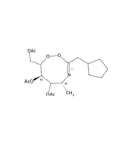 CC(=O)OCC1OO/C(CC2CCCC2)=N\[C@H](C)C(OC(C)=O)[C@H]1OC(C)=O